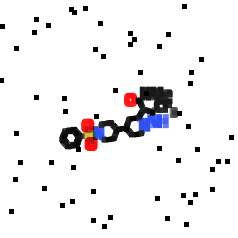 CNC(=O)C1C2CC(C3CCN(S(=O)(=O)c4ccccc4)CC3)CCN2NC1C(F)(F)F